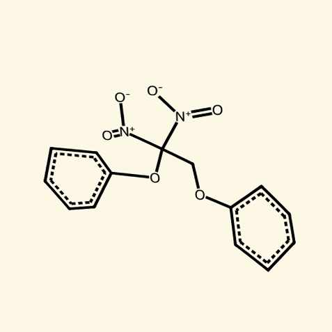 O=[N+]([O-])C(COc1ccccc1)(Oc1ccccc1)[N+](=O)[O-]